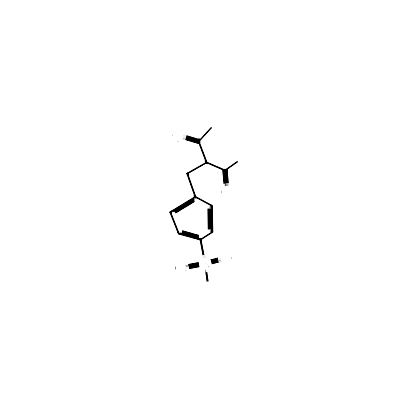 CC(=O)C(Cc1ccc(S(C)(=O)=O)cc1)C(C)=O